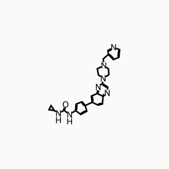 O=C(Nc1ccc(-c2ccc3ncc(N4CCN(Cc5cccnc5)CC4)nc3c2)cc1)NC1CC1